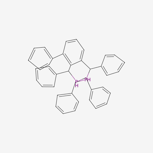 c1ccc(CPC(c2ccccc2)c2cccc(-c3ccccc3)c2C(PCc2ccccc2)c2ccccc2)cc1